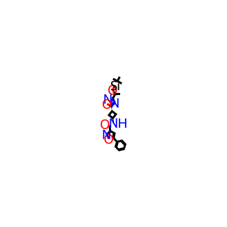 CC(O[Si](C)(C)C(C)(C)C)c1noc([C@H]2C[C@H](NC(=O)c3cc(-c4ccccc4)on3)C2)n1